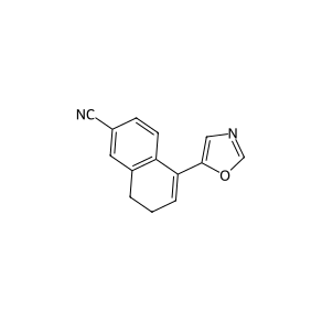 N#Cc1ccc2c(c1)CCC=C2c1cnco1